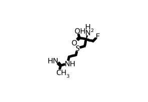 CC(=N)NCCSC[C@@](N)(CF)C(=O)O